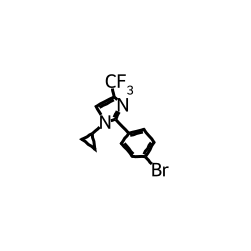 FC(F)(F)c1cn(C2CC2)c(-c2ccc(Br)cc2)n1